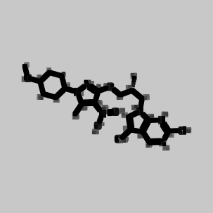 COC1CCC(n2nc(OC[C@H](C)Cn3cc(Cl)c4cnc(Cl)nc43)c([N+](=O)[O-])c2C)CC1